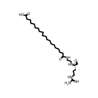 N=C(N)NCCC[C@@H](C=O)NCCNC(=O)CCCCCCCCCCCCCCCCCCC(=O)O